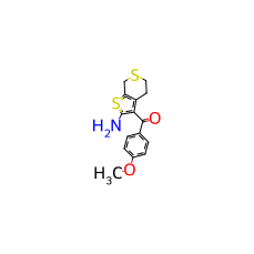 COc1ccc(C(=O)c2c(N)sc3c2CCSC3)cc1